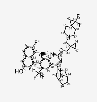 C#Cc1c(F)ccc2cc(O)cc(-c3c(C(F)(F)F)cc4c(N5CC6CCC(C5)N6)nc(OCC5(CN6CCC7(CC6)CC7(F)F)CC5)nc4c3F)c12